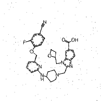 N#Cc1ccc(OCc2cccc(NC3CCN(Cc4nc5ccc(C(=O)O)cc5n4CC4CCO4)CC3)n2)c(F)c1